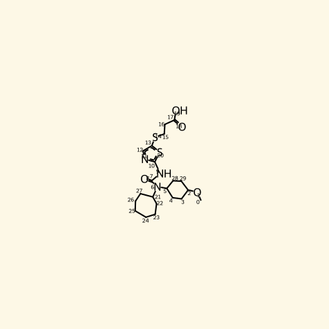 COC1CCC(N(C(=O)Nc2ncc(SCCC(=O)O)s2)C2CCCCCC2)CC1